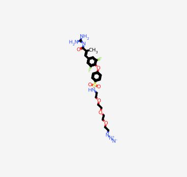 C/C(=C\c1cc(F)c(Oc2ccc(S(=O)(=O)NCCOCCOCCOCCN=[N+]=[N-])cc2)c(F)c1)C(=O)N=C(N)N